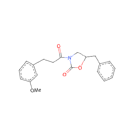 COc1cccc(CCC(=O)N2CC(Cc3ccccc3)OC2=O)c1